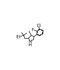 CCC(C)(C)CC1NCC(c2cccc(Cl)c2F)C1C